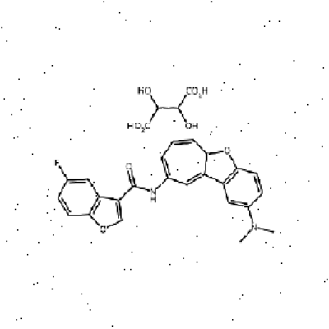 CN(C)c1ccc2c(c1)C1=CC(NC(=O)c3coc4ccc(F)cc34)=CC=CC1O2.O=C(O)C(O)C(O)C(=O)O